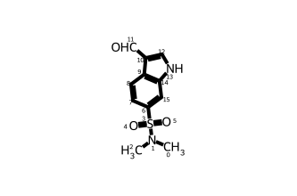 CN(C)S(=O)(=O)c1ccc2c(C=O)c[nH]c2c1